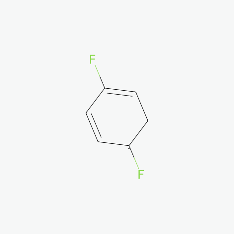 F[C]1C=CC(F)=CC1